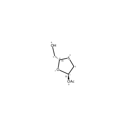 CC(=O)O[C@@H]1CS[C@@H](CO)O1